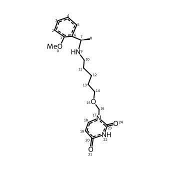 COc1ccccc1[C@@H](C)NCCCCCOCn1ccc(=O)[nH]c1=O